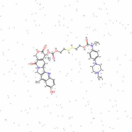 CCc1c2c(nc3ccc(O)cc13)-c1cc3c(c(=O)n1C2)COC(=O)[C@@]3(CC)OC(=O)OCCSSCCOC(=O)N(C)c1ccc(N2CCN(C)CC2)cc1